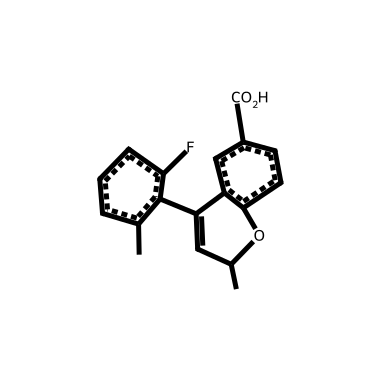 Cc1cccc(F)c1C1=CC(C)Oc2ccc(C(=O)O)cc21